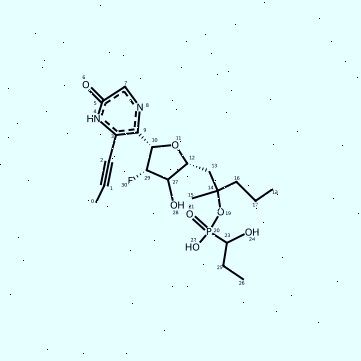 CC#Cc1[nH]c(=O)cnc1[C@@H]1O[C@H](CC(C)(CCC)OP(=O)(O)C(O)CC)C(O)[C@@H]1F